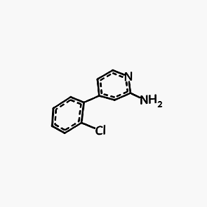 Nc1cc(-c2ccccc2Cl)ccn1